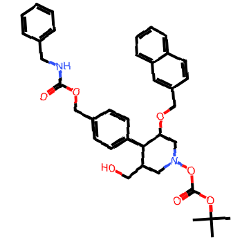 CC(C)(C)OC(=O)ON1CC(CO)C(c2ccc(COC(=O)NCc3ccccc3)cc2)C(OCc2ccc3ccccc3c2)C1